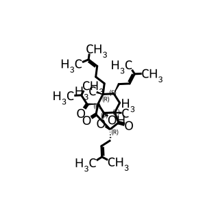 CC(C)=CCC[C@]1(C)[C@@H](CC=C(C)C)C[C@]2(C)C(=O)[C@@]3(CC=C(C)C)O[C@]2(O)[C@]1(C(=O)C(C)C)C3=O